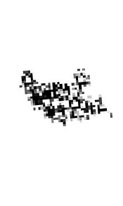 CN1CCC(N(C)C)c2cc(OCc3ccccc3)c3c(c21)C[C@H]1C[C@H]2[C@H](N)c4onc(OCc5ccccc5)c4C(=O)[C@@]2(O[Si](C)(C)C(C)(C)C)C(O)=C1C3=O